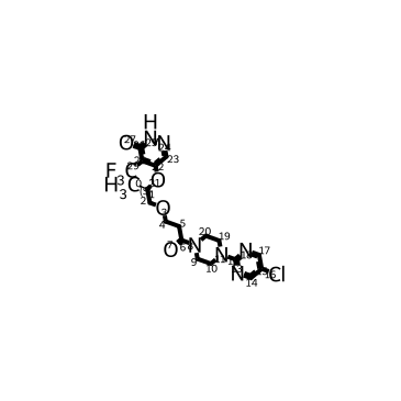 C[C@@H](COCCC(=O)N1CCN(c2ncc(Cl)cn2)CC1)Oc1cn[nH]c(=O)c1C(F)(F)F